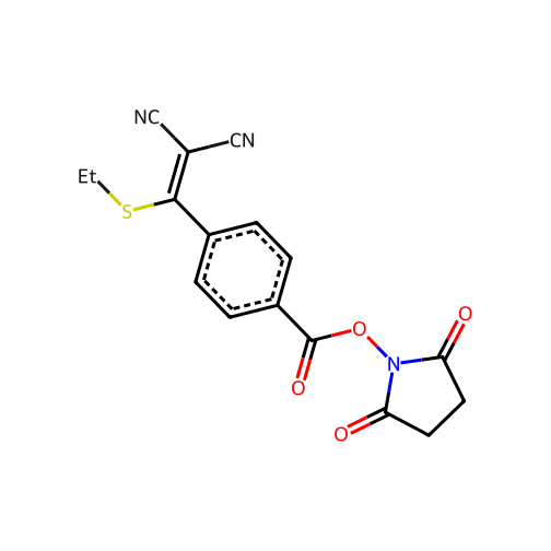 CCSC(=C(C#N)C#N)c1ccc(C(=O)ON2C(=O)CCC2=O)cc1